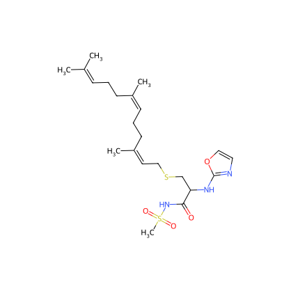 CC(C)=CCCC(C)=CCCC(C)=CCSCC(Nc1ncco1)C(=O)NS(C)(=O)=O